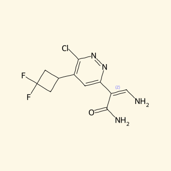 N/C=C(\C(N)=O)c1cc(C2CC(F)(F)C2)c(Cl)nn1